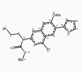 CCc1nc(N(CCC(C)C)C(=O)OC(C)(C)C)nc2cc(OC)c(-c3cnco3)cc12